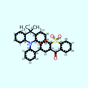 CC1(C)c2ccccc2N(c2ccccc2-c2ccc3c(c2)C(=O)c2ccccc2S3(=O)=O)c2ccccc21